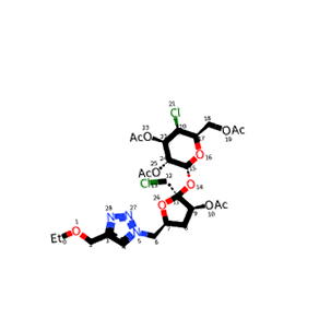 CCOCc1cn(C[C@@H]2C[C@H](OC(C)=O)[C@](CCl)(O[C@H]3O[C@H](COC(C)=O)[C@H](Cl)[C@H](OC(C)=O)[C@H]3OC(C)=O)O2)nn1